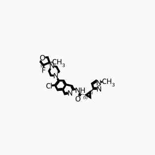 Cn1ccc([C@H]2C[C@@H]2C(=O)Nc2cc3cc(N4CCN([C@]5(C)COC[C@@H]5F)CC4)c(Cl)cc3cn2)n1